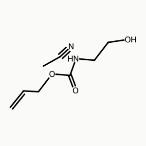 C=CCOC(=O)NCCO.CC#N